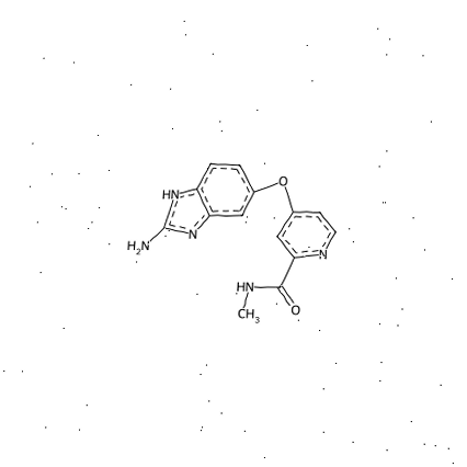 CNC(=O)c1cc(Oc2ccc3[nH]c(N)nc3c2)ccn1